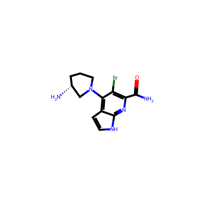 NC(=O)c1nc2[nH]c[c]c2c(N2CCC[C@@H](N)C2)c1Br